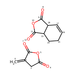 C=C1CC(=O)OC1=O.O=C1OC(=O)C2CCC=CC12